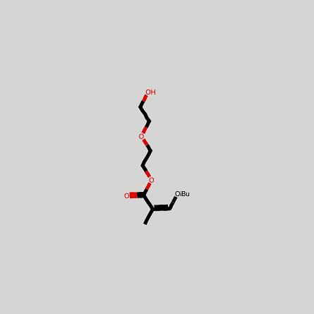 CC(=COCC(C)C)C(=O)OCCOCCO